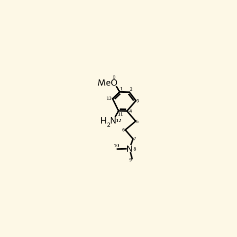 COc1ccc(CCCN(C)C)c(N)c1